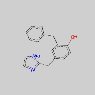 Oc1ccc(Cc2ncc[nH]2)cc1Cc1ccccc1